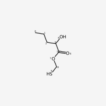 CCCC(O)C(=O)OCS